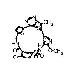 COc1ncc2cc1NS(=O)(=O)c1ccc(Cl)c(c1)C(=O)NCc1ccc(s1)-c1ncnc3c(C)c-2sc13